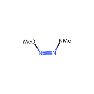 CN/N=N\OC